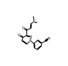 CN(C)/C=C/C(=O)c1nn(-c2cccc(C#N)c2)ccc1=O